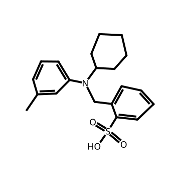 Cc1cccc(N(Cc2ccccc2S(=O)(=O)O)C2CCCCC2)c1